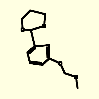 COCOc1cccc(C2OCCCO2)c1